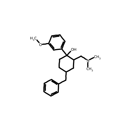 COc1cccc(C2(O)CCC(Cc3ccccc3)CC2CN(C)C)c1